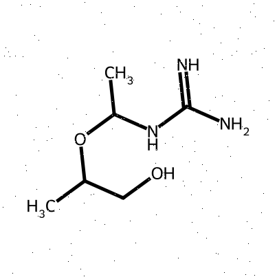 CC(CO)OC(C)NC(=N)N